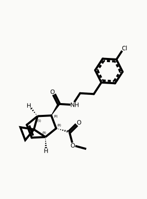 COC(=O)[C@H]1[C@H](C(=O)NCCc2ccc(Cl)cc2)[C@@H]2C=C[C@H]1C21CC1